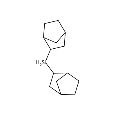 C1CC2CC1CC2[SiH2]C1CC2CCC1C2